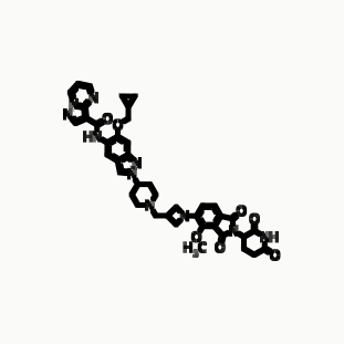 COc1c(N2CC(CN3CCC(n4cc5cc(NC(=O)c6cnn7cccnc67)c(OCC6CC6)cc5n4)CC3)C2)ccc2c1C(=O)N(C1CCC(=O)NC1=O)C2=O